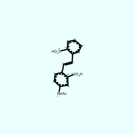 CC(=O)Nc1ccc(C=Cc2ccccc2S(=O)(=O)O)c(S(=O)(=O)O)c1